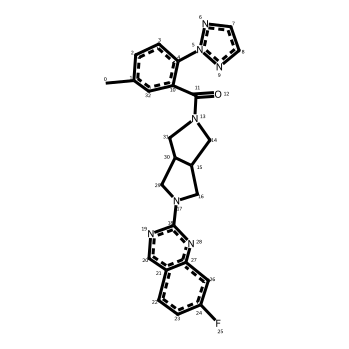 Cc1ccc(-n2nccn2)c(C(=O)N2CC3CN(c4ncc5ccc(F)cc5n4)CC3C2)c1